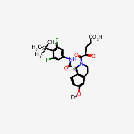 CCOc1ccc2c(c1)CCN(C(=O)C(=O)CCC(=O)O)[C@H]2C(=O)Nc1cc(F)c([Si](C)(C)C)c(F)c1